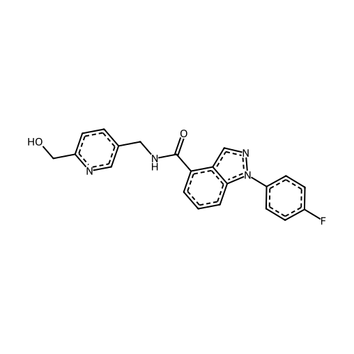 O=C(NCc1ccc(CO)nc1)c1cccc2c1cnn2-c1ccc(F)cc1